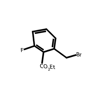 CCOC(=O)c1c(F)cccc1CBr